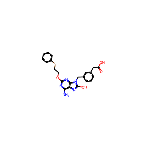 Nc1nc(OCCSc2ccccc2)nc2c1nc(O)n2Cc1cccc(CC(=O)O)c1